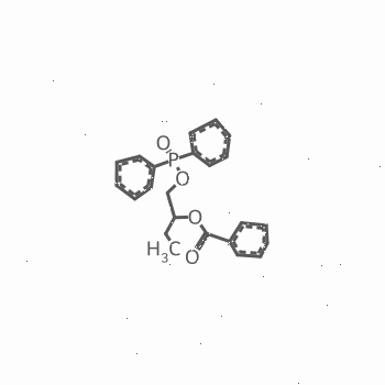 CCC(COP(=O)(c1ccccc1)c1ccccc1)OC(=O)c1ccccc1